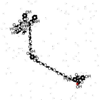 CC(=O)N[C@@H](Cc1c[nH]cn1)C(=O)N[C@@H](CCC(=O)O)C(=O)N[C@@H](Cc1ccc(O)cc1)C(=O)N[C@@H](Cc1c[nH]c2ccccc12)C(=O)NCCOCCOCCOCCOCCNC(=O)c1ccc(OC(=O)CCOCCOCCOCCOCCOCCOCCNC(=S)Nc2ccc3c(c2)C(=O)OC32c3ccc(O)cc3Oc3cc(O)ccc32)c(F)c1